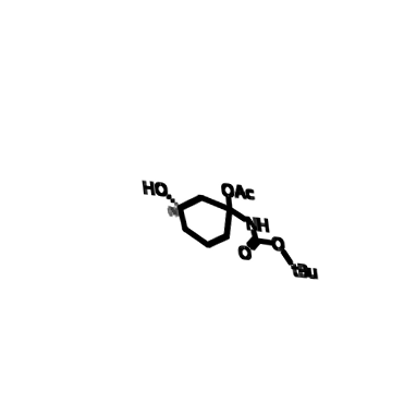 CC(=O)OC1(NC(=O)OC(C)(C)C)CCC[C@H](O)C1